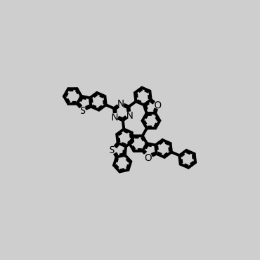 c1ccc(-c2ccc3c(c2)oc2cccc(-c4ccc5oc6cccc(-c7nc(-c8ccc9c(c8)sc8ccccc89)nc(-c8ccc9c(c8)sc8ccccc89)n7)c6c5c4)c23)cc1